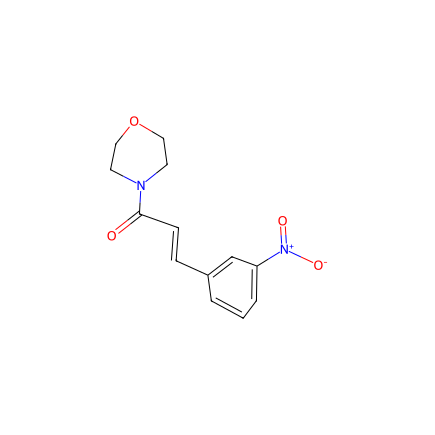 O=C(C=Cc1cccc([N+](=O)[O-])c1)N1CCOCC1